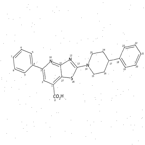 O=C(O)c1cc(-c2ccccc2)nc2nc(N3CCC(c4ccccc4)CC3)sc12